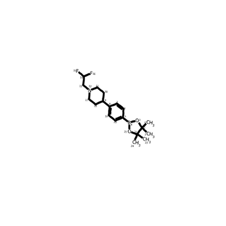 CC1(C)OB(c2ccc(C3CCN(CC(F)F)CC3)cc2)OC1(C)C